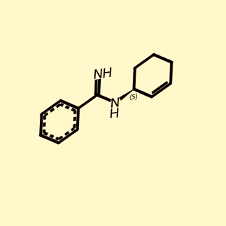 N=C(N[C@@H]1C=CCCC1)c1ccccc1